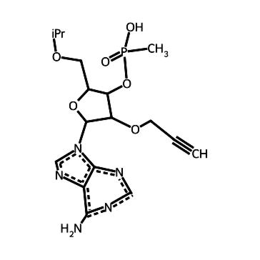 C#CCOC1C(OP(C)(=O)O)C(COC(C)C)OC1n1cnc2c(N)ncnc21